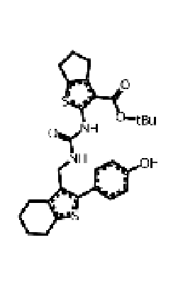 CC(C)(C)OC(=O)c1c(NC(=O)NCc2c(-c3ccc(O)cc3)sc3c2CCCC3)sc2c1CCC2